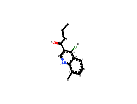 CCCC(=O)c1cnc2c(C)cccc2c1Cl